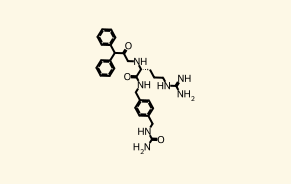 N=C(N)NCCC[C@@H](NCC(=O)C(c1ccccc1)c1ccccc1)C(=O)NCc1ccc(CNC(N)=O)cc1